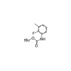 Cc1cccc(NC(=O)OC(C)(C)C)c1F